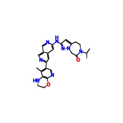 Cc1c(-c2cc3cc(Nc4cc5n(n4)CC(=O)N(C(C)C)CC5)ncc3cn2)cnc2c1NCCO2